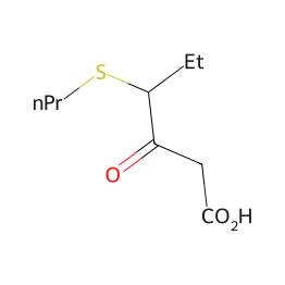 CCCSC(CC)C(=O)CC(=O)O